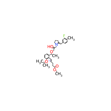 CCOC(=O)CC/C=C/c1c(OC(C)C)cccc1C(C)OC[C@H](O)CN1CCC[C@H]1Cc1ccc(C)c(F)c1